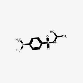 CC(O)NS(=O)(=O)c1ccc(N(C)C)cc1